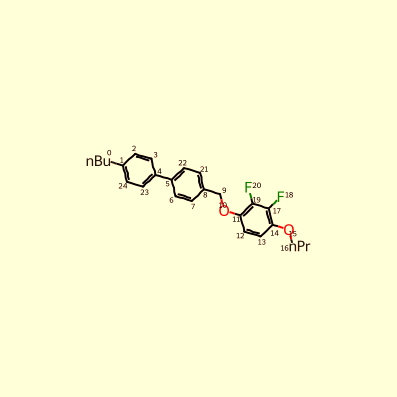 CCCCc1ccc(-c2ccc(COc3ccc(OCCC)c(F)c3F)cc2)cc1